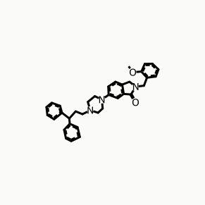 COc1ccccc1CN1Cc2ccc(N3CCN(CCC(c4ccccc4)c4ccccc4)CC3)cc2C1=O